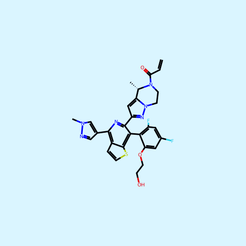 C=CC(=O)N1CCn2nc(-c3nc(-c4cnn(C)c4)c4ccsc4c3-c3c(F)cc(F)cc3OCCO)cc2[C@@H]1C